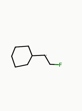 FC[CH]C1CCCCC1